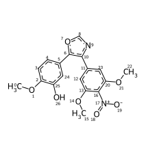 COc1ccc(-c2ocnc2-c2cc(OC)c([N+](=O)[O-])c(OC)c2)cc1O